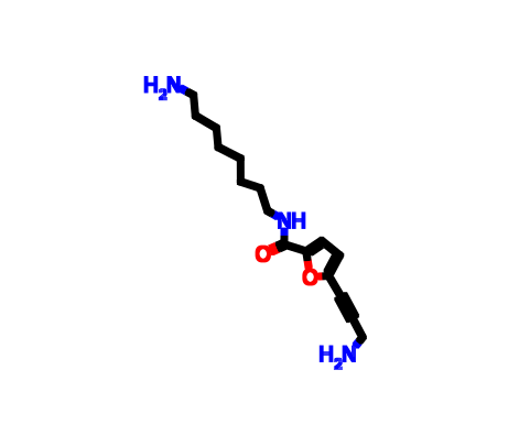 NCC#Cc1ccc(C(=O)NCCCCCCCCN)o1